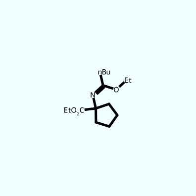 CCCCC(=NC1(C(=O)OCC)CCCC1)OCC